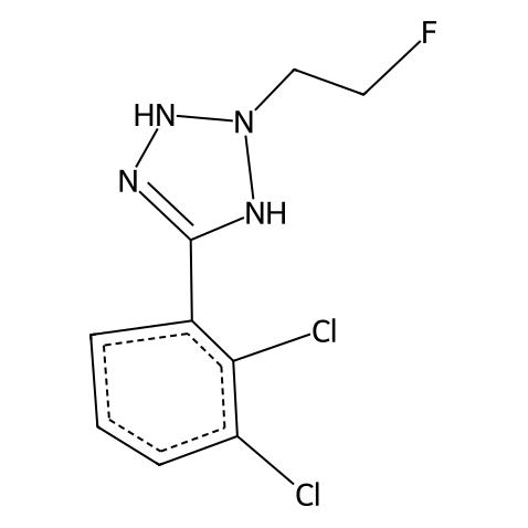 FCCN1NN=C(c2cccc(Cl)c2Cl)N1